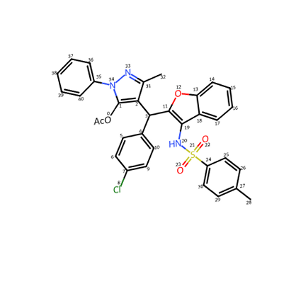 CC(=O)Oc1c(C(c2ccc(Cl)cc2)c2oc3ccccc3c2NS(=O)(=O)c2ccc(C)cc2)c(C)nn1-c1ccccc1